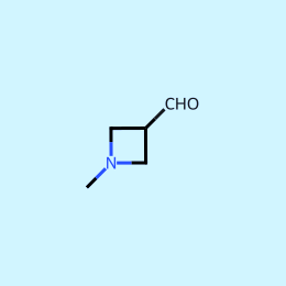 CN1CC(C=O)C1